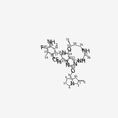 C=C1CN2CCCC2(COc2nc3c4c(nc(-c5cc(N)c(F)c(C)c5C(F)(F)F)c(F)c4n2)O[C@@H](C)CCNC(C)CN3)C1